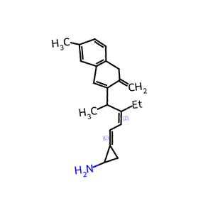 C=C1Cc2ccc(C)cc2C=C1C(C)/C(=C\C=C1/CC1N)CC